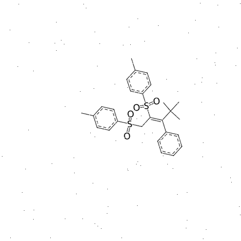 Cc1ccc(S(=O)(=O)CC(=C(c2ccccc2)C(C)(C)C)S(=O)(=O)c2ccc(C)cc2)cc1